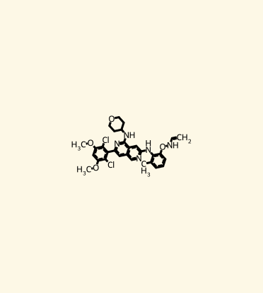 C=CNOc1cccc(C)c1Nc1cc2c(NC3CCOCC3)nc(-c3c(Cl)c(OC)cc(OC)c3Cl)cc2cn1